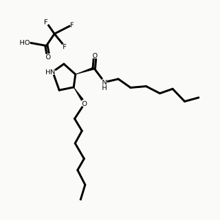 CCCCCCCNC(=O)[C@@H]1CNC[C@@H]1OCCCCCCC.O=C(O)C(F)(F)F